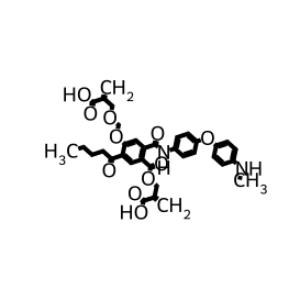 C=C(COCOc1cc(C(=O)Nc2ccc(Oc3ccc(NC)cc3)cc2)c(C(=O)OCC(=C)C(=O)O)cc1C(=O)CCCC)C(=O)O